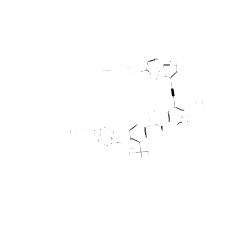 CCOc1ccc2ncc(C#Cc3cc(C(=O)Nc4ccc(CN5CCN(C)CC5)c(C(F)(F)F)c4)cnc3C)n2n1